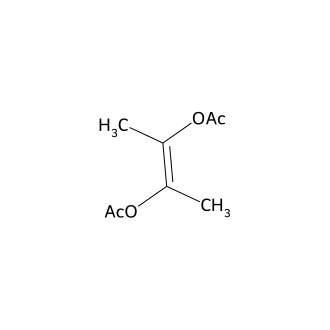 CC(=O)OC(C)=C(C)OC(C)=O